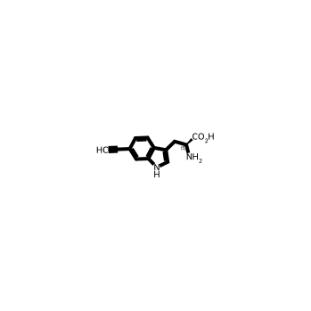 C#Cc1ccc2c(C[C@H](N)C(=O)O)c[nH]c2c1